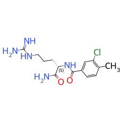 Cc1ccc(C(=O)N[C@@H](CCCNC(=N)N)C(N)=O)cc1Cl